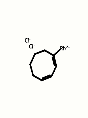 [Cl-].[Cl-].[Rh+2]/[C]1=C/C=C\CCCC1